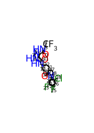 O=C(NCC(F)(F)F)c1nc[nH]c1C(=O)N[C@H]1CC[C@@]2(CCN(c3cc(F)c(F)cc3Cl)C2=O)CC1